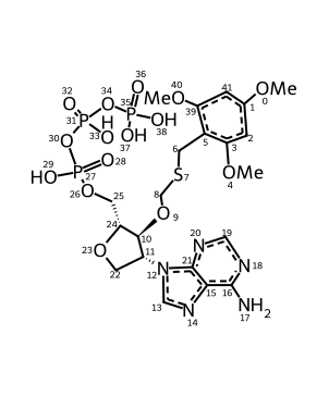 COc1cc(OC)c(CSCO[C@H]2[C@H](n3cnc4c(N)ncnc43)CO[C@@H]2COP(=O)(O)OP(=O)(O)OP(=O)(O)O)c(OC)c1